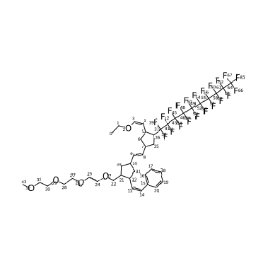 CCO/C=C\C1CC(/C=C/C2CC(/C=C\c3ccccc3)C(COCCOCCOCCOC)C2)CC1C(F)(F)C(F)(F)C(F)(F)C(F)(F)C(F)(F)C(F)(F)C(F)(F)C(F)(F)C(F)(F)C(F)(F)F